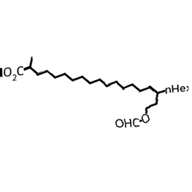 CCCCCCC(CCCCCCCCCCCCCCC(C)C(=O)O)CCOC=O